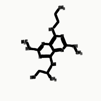 CCCNc1nc(NC)nc2c(N[C@@H](C)CO)nc(NC)nc12